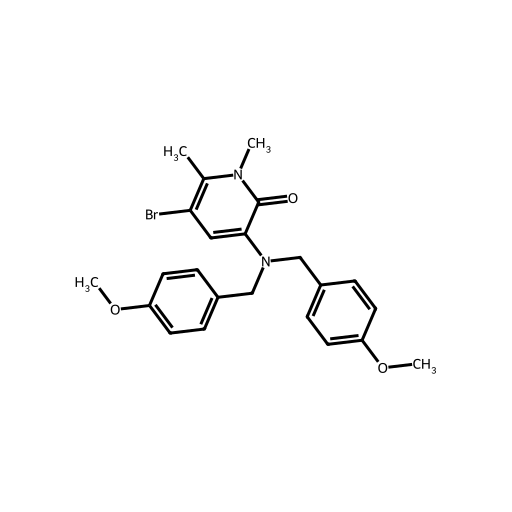 COc1ccc(CN(Cc2ccc(OC)cc2)c2cc(Br)c(C)n(C)c2=O)cc1